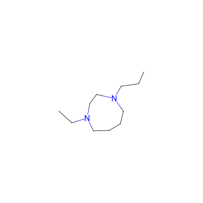 CCCN1CCCCN(CC)CC1